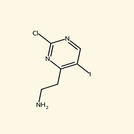 NCCc1nc(Cl)ncc1I